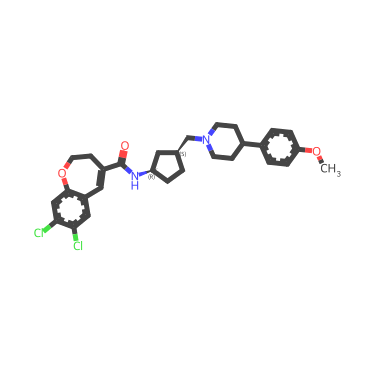 COc1ccc(C2CCN(C[C@H]3CC[C@@H](NC(=O)C4=Cc5cc(Cl)c(Cl)cc5OCC4)C3)CC2)cc1